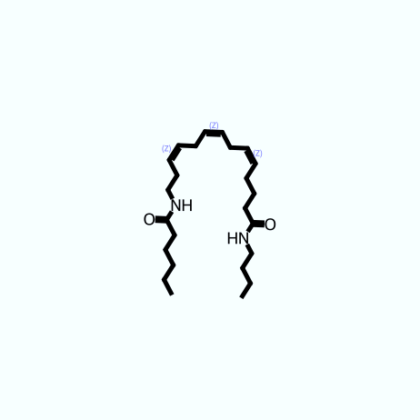 CCCCCC(=O)NCC/C=C\C/C=C\C/C=C\CCCC(=O)NCCCC